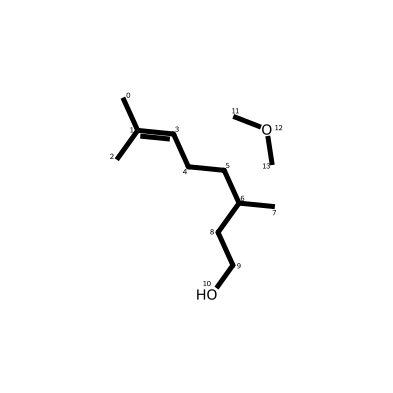 CC(C)=CCCC(C)CCO.COC